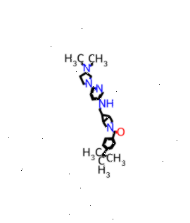 CCN(CC)C1CCN(c2ccc(NCC3C4CN(C(=O)c5ccc(C(C)(C)C)cc5)CC34)cn2)C1